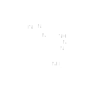 Nc1cccc(-c2c[nH]nn2)c1-c1c[nH]nn1